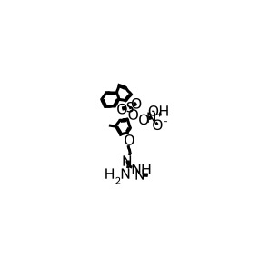 C=NNC(N)=NCCOc1cc(C)cc(OS(=O)(=O)c2cccc3ccccc23)c1.O=[N+]([O-])O